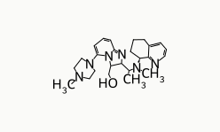 CC(C1N=C2C=CC=C(N3CCN(C)CC3)N2C1CO)N(C)[C@H]1CCCc2cccnc21